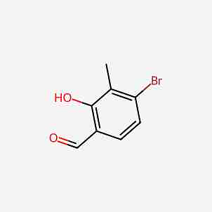 Cc1c(Br)ccc(C=O)c1O